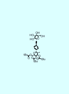 C[C@H]1[C@@H](OC(=O)C(C)(C)C)[C@H](OC(=O)C(C)(C)C)[C@@H](COC(=O)C(C)(C)C)O[C@@H]1c1ccc(C#C[C@H]2O[C@H](CO)[C@@H](O)[C@H](O)[C@@H]2O)cc1